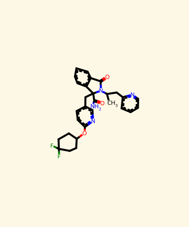 CC(Cc1ccccn1)N1C(=O)c2ccccc2C1(Cc1ccc(OC2CCC(F)(F)CC2)nc1)C(N)=O